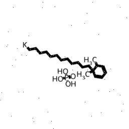 CC1C=CC=CC1(C)CCCCCCCCCCC[CH2][K].O=P(O)(O)O